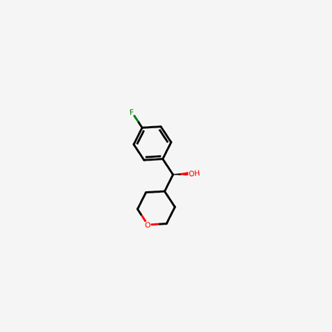 O[C@H](c1ccc(F)cc1)C1CCOCC1